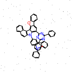 c1ccc(-c2nc(-c3ccccc3)nc(-c3cc4c5ccccc5oc4c4c5c6ccccc6ccc5n(-c5ccc6c(c5)c5ccccc5n6-c5ccccc5)c34)n2)cc1